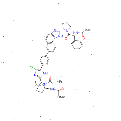 COC(=O)N[C@H](C(=O)N1[C@@H]2CC[C@@H](C2)[C@H]1c1nc(Cl)c(-c2ccc(-c3ccc4c(ccc5nc([C@@H]6CCCN6C(=O)[C@H](NC(=O)OC)c6ccccc6)[nH]c54)c3)cc2)[nH]1)C(C)C